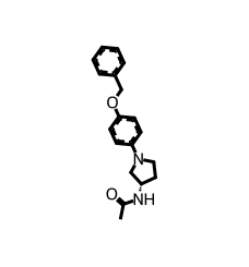 CC(=O)N[C@H]1CCN(c2ccc(OCc3ccccc3)cc2)C1